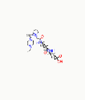 CCN1CCN([13CH2]C2CCC[15N]2CC(=O)N[13CH2][13CH2][13CH2][13C](=O)[15NH][13CH2][13CH2][13CH2][13C](=O)O)CC1